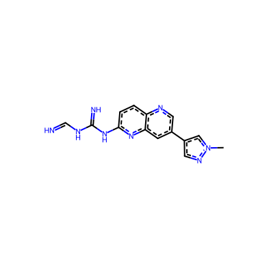 Cn1cc(-c2cnc3ccc(NC(=N)NC=N)nc3c2)cn1